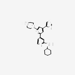 c1cc(-c2cc(-c3cscn3)cc(N3CCNCC3)n2)cc(NC2CCCCC2)n1